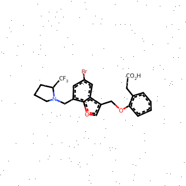 O=C(O)Cc1ccccc1OCc1coc2c(CN3CCCC3C(F)(F)F)cc(Br)cc12